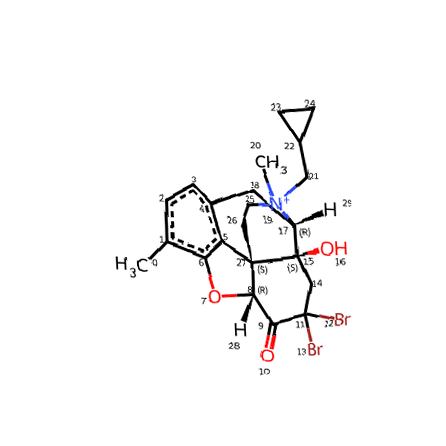 Cc1ccc2c3c1O[C@H]1C(=O)C(Br)(Br)C[C@@]4(O)[C@@H](C2)[N+](C)(CC2CC2)CC[C@]314